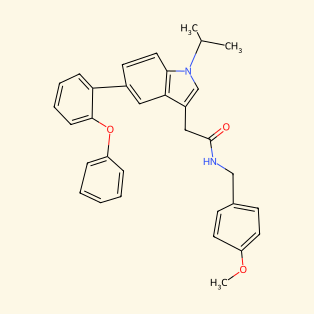 COc1ccc(CNC(=O)Cc2cn(C(C)C)c3ccc(-c4ccccc4Oc4ccccc4)cc23)cc1